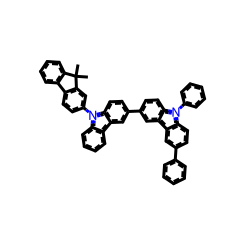 CC1(C)c2ccccc2-c2ccc(-n3c4ccccc4c4cc(-c5ccc6c(c5)c5cc(-c7ccccc7)ccc5n6-c5ccccc5)ccc43)cc21